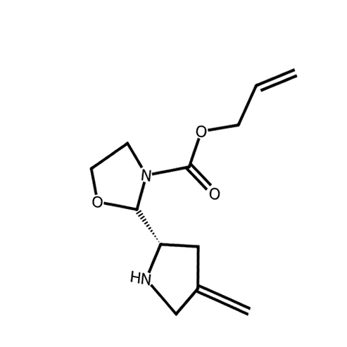 C=CCOC(=O)N1CCOC1[C@@H]1CC(=C)CN1